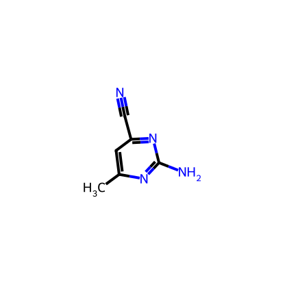 Cc1cc(C#N)nc(N)n1